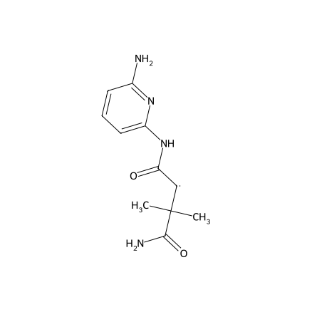 CC(C)([CH]C(=O)Nc1cccc(N)n1)C(N)=O